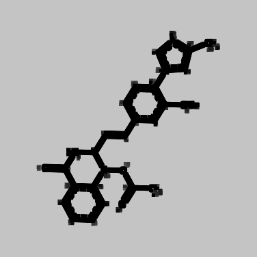 COc1cc(C=CC2NC(=O)c3ccccc3N2OC(=O)C(F)(F)F)ccc1-n1cnc(C)c1